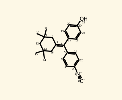 [C-]#[N+]c1ccc(C(=C2CC(C)(C)CC(C)(C)C2)c2ccc(O)cc2)cc1